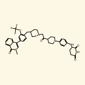 Cn1cc(-c2ccc(CC3CCN(CC(=O)C4CCN(c5ccc(NC6CCC(=O)NC6=O)cc5)CC4)CC3)c(OC(F)(F)F)c2)c2ccccc2c1=O